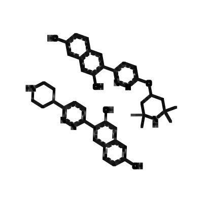 CC1(C)CC(Oc2ccc(-c3cc4ccc(O)cc4cc3O)nn2)CC(C)(C)N1.Oc1ccc2cc(-c3ccc(C4CCNCC4)nn3)c(O)cc2c1